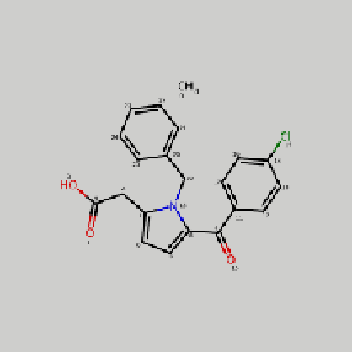 C.O=C(O)Cc1ccc(C(=O)c2ccc(Cl)cc2)n1Cc1ccccc1